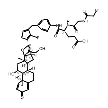 C[C@]12C=CC(=O)C=C1CC[C@@H]1[C@@H]2[C@@H](O)C[C@@]2(C)[C@H]1C[C@H]1O[C@@H](c3scc(Cc4ccc(NC(=O)[C@H](CCC(=O)O)NC(=O)CNC(=O)CBr)cc4)c3F)O[C@]12C(=O)CO